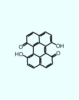 O=c1ccc2ccc(O)c3c4c(=O)ccc5ccc(O)c(c1c23)c54